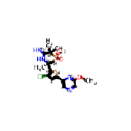 COc1cncc(-c2cc(Cl)c([C@]3(C)CS(=O)(=O)C(C)(C)C(=N)N3)s2)n1